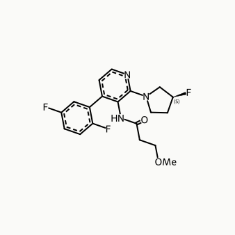 COCCC(=O)Nc1c(-c2cc(F)ccc2F)ccnc1N1CC[C@H](F)C1